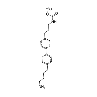 CC(C)(C)OC(=O)NCCCc1ccc(-c2ccc(CCCCN)cc2)cc1